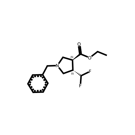 CCOC(=O)[C@@H]1CN(Cc2ccccc2)C[C@H]1C(F)F